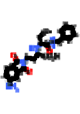 CC(C)C[C@H](N[C@H](CCN1C(=O)c2ccc(N)cc2C1=O)C(=O)O)C(=O)NCc1ccccc1